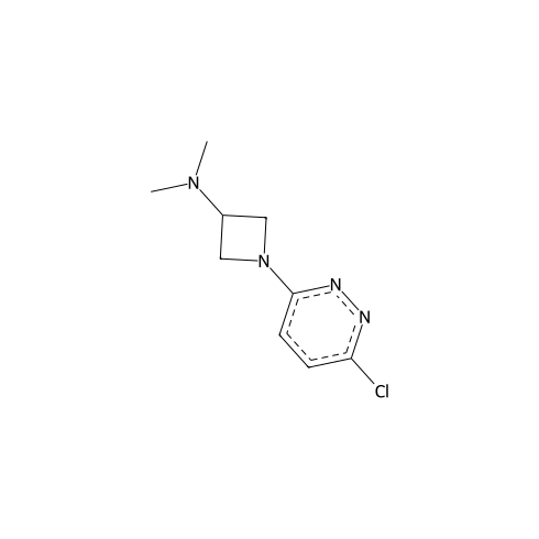 CN(C)C1CN(c2ccc(Cl)nn2)C1